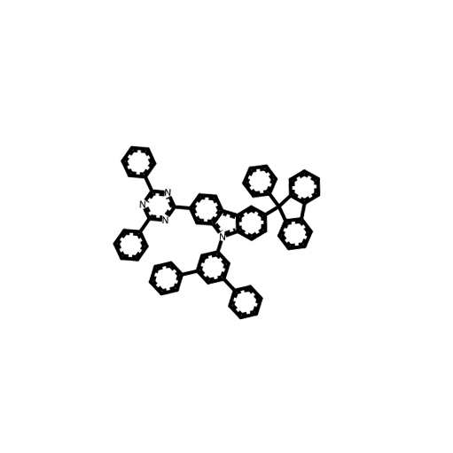 c1ccc(-c2cc(-c3ccccc3)cc(-n3c4ccc(C5(c6ccccc6)c6ccccc6-c6ccccc65)cc4c4ccc(-c5nc(-c6ccccc6)nc(-c6ccccc6)n5)cc43)c2)cc1